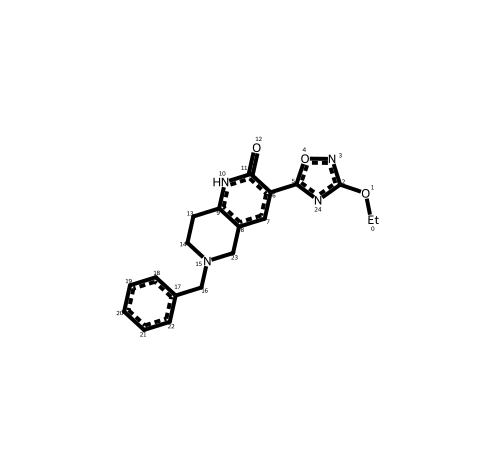 CCOc1noc(-c2cc3c([nH]c2=O)CCN(Cc2ccccc2)C3)n1